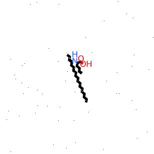 C=CCCC(N/C(=C\CC)CCCCCCCCCCCCCCC)C(=O)O